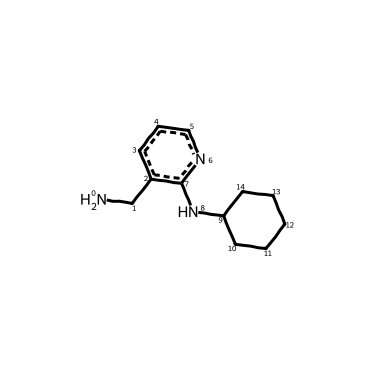 NCc1cccnc1NC1CCCCC1